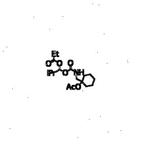 CCC(=O)OC(OC(=O)NCC1(OC(C)=O)CCCCC1)C(C)C